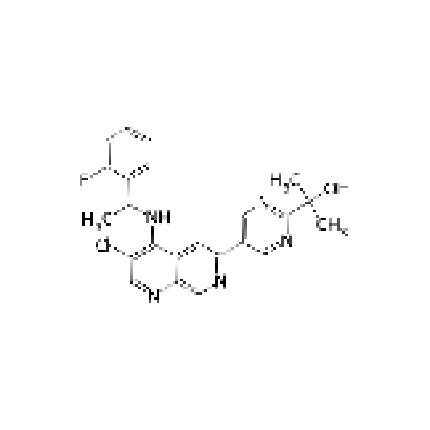 CC(Nc1c(Cl)cnc2cnc(-c3cnc(C(C)(C)O)nc3)cc12)c1ccccc1F